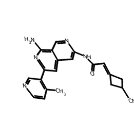 Cc1ccncc1-c1cc2cc(NC(=O)C=C3CC(C#N)C3)ncc2c(N)n1